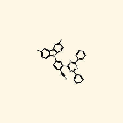 Cc1ccc2c(c1)c1cc(C)ccc1n2-c1ccc(C#N)c(-c2nc(-c3ccccc3)nc(-c3ccccc3)n2)c1